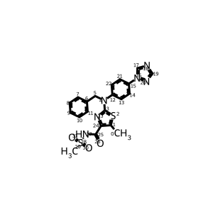 Cc1sc(N(Cc2ccccc2)c2ccc(-n3cncn3)cc2)nc1C(=O)NS(C)(=O)=O